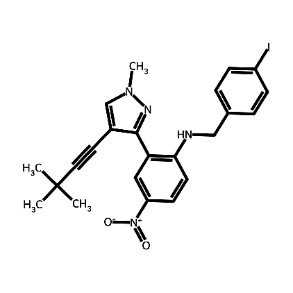 Cn1cc(C#CC(C)(C)C)c(-c2cc([N+](=O)[O-])ccc2NCc2ccc(I)cc2)n1